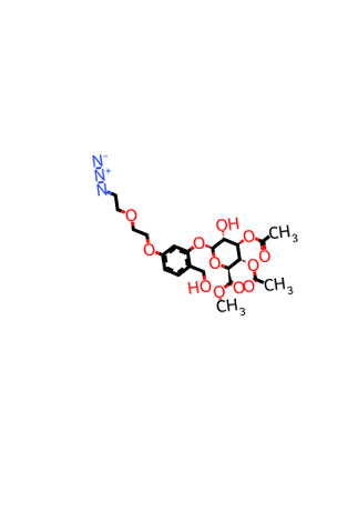 COC(=O)[C@H]1O[C@@H](Oc2cc(OCCOCCN=[N+]=[N-])ccc2CO)[C@H](O)[C@@H](OC(C)=O)[C@@H]1OC(C)=O